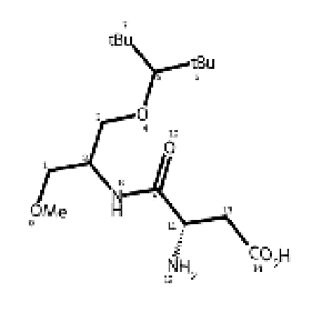 COCC(COC(C(C)(C)C)C(C)(C)C)NC(=O)[C@@H](N)CC(=O)O